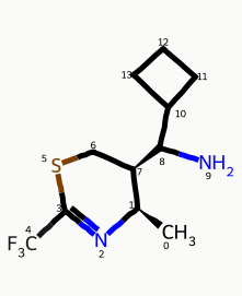 C[C@H]1N=C(C(F)(F)F)SC[C@H]1C(N)C1CCC1